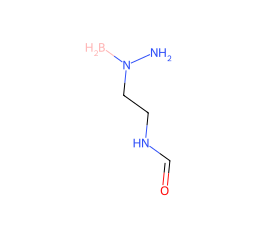 BN(N)CCNC=O